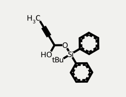 CC#CC(O)O[Si](c1ccccc1)(c1ccccc1)C(C)(C)C